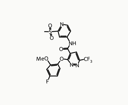 COc1cc(F)ccc1Oc1nnc(C(F)(F)F)cc1C(=O)Nc1ccnc(S(C)(=O)=O)c1